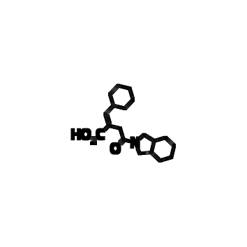 O=C(O)/C(=C/C1CCCCC1)CC(=O)N1CC2CCCCC2C1